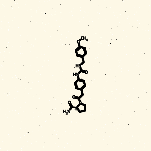 COc1ccc(CNC(=O)Nc2ccc(CC(=O)N3CCC[C@H]3C(N)=O)cc2)cc1